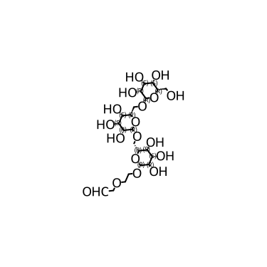 O=CCOCCO[C@@H]1O[C@H](CO[C@@H]2O[C@H](CO[C@@H]3O[C@H](CO)[C@@H](O)[C@H](O)[C@H]3O)[C@@H](O)[C@H](O)[C@H]2O)[C@@H](O)[C@H](O)[C@H]1O